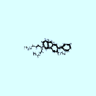 CCCCN(CC)c1ccc2c(c1)-c1cc(C)c(-c3ccccc3)cc1C2